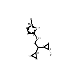 C[C@H]1CC1C(COc1ccn(C)n1)C1CC1